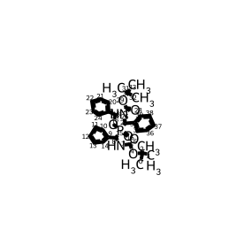 CC(C)(C)OC(=O)NC(c1ccccc1)P(=O)(OCc1ccccc1)C(NC(=O)OC(C)(C)C)c1ccccc1